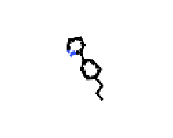 [CH2]CCc1ccc(-c2ccccn2)cc1